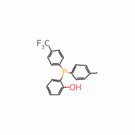 Cc1ccc(P(c2ccc(C(F)(F)F)cc2)c2ccccc2O)cc1